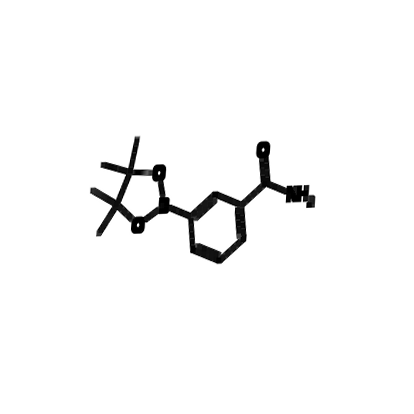 CC1(C)OB(c2cccc(C(N)=O)c2)OC1(C)C